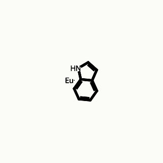 [Eu].c1ccc2[nH]ccc2c1